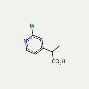 CC(C(=O)O)c1ccnc(Br)c1